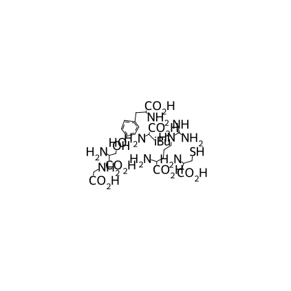 CCC(C)C(N)C(=O)O.N=C(N)NCCCC(N)C(=O)O.NC(CO)C(=O)O.NC(CS)C(=O)O.NC(Cc1ccc(O)cc1)C(=O)O.NCC(=O)O